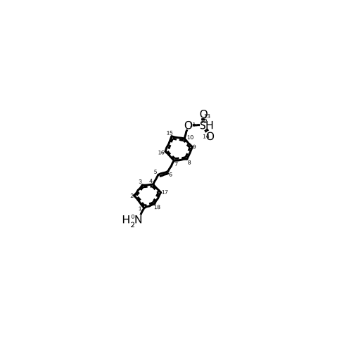 Nc1ccc(C=Cc2ccc(O[SH](=O)=O)cc2)cc1